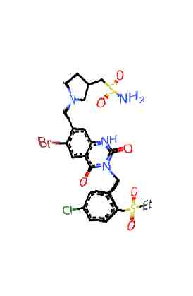 CCS(=O)(=O)c1ccc(Cl)cc1Cn1c(=O)[nH]c2cc(CN3CCC(CS(N)(=O)=O)C3)c(Br)cc2c1=O